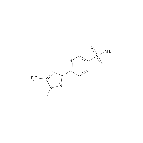 Cn1nc(-c2ccc(S(N)(=O)=O)cn2)cc1C(F)(F)F